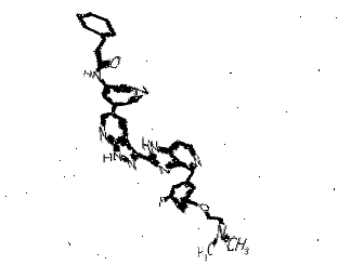 CN(C)CCOc1cc(F)cc(-c2nccc3[nH]c(-c4n[nH]c5ncc(-c6cncc(NC(=O)CC7CCCCC7)c6)cc45)nc23)c1